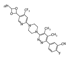 CCCC1OC(c2cnc(N3CCN(c4nnc(-c5ccc(F)c(C#N)c5)c(C)c4C)CC3)cc2C(F)(F)F)O1